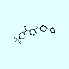 CS(=O)(=O)N1CCN(C(=O)c2ccnc(Oc3ccc(-n4cccn4)cc3)n2)CC1